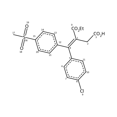 CCOC(=O)C(CC(=O)O)=C(c1ccc(Cl)cc1)c1ccc(S(C)(=O)=O)cc1